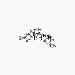 N#Cc1ccc(NC(=O)NC2[C@H]3Cc4cc(Br)ccc4[C@@H]23)nc1